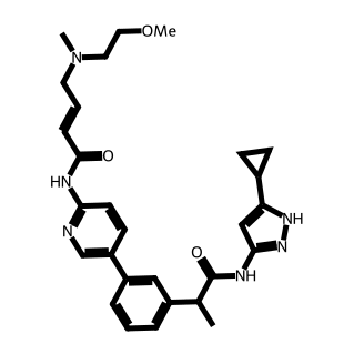 COCCN(C)CC=CC(=O)Nc1ccc(-c2cccc(C(C)C(=O)Nc3cc(C4CC4)[nH]n3)c2)cn1